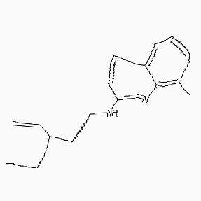 C=CC(CC)CCNc1ccc2cccc(C)c2n1